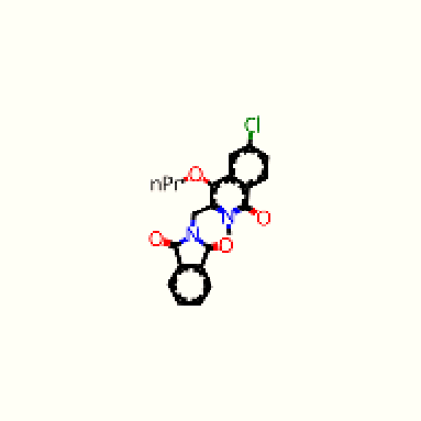 CCCOc1c(CN2C(=O)c3ccccc3C2=O)n(C)c(=O)c2ccc(Cl)cc12